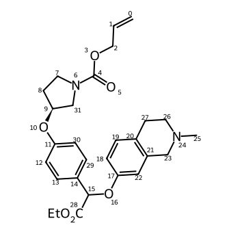 C=CCOC(=O)N1CC[C@H](Oc2ccc(C(Oc3ccc4c(c3)CN(C)CC4)C(=O)OCC)cc2)C1